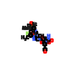 CCP(=O)(CC)c1ccc(-n2ccn(-c3c4c(nn3-c3cc(C)c(F)c(C)c3)CCN(C(=O)c3oc5cc(C6CCOCC6)ccc5c3C3(c5noc(=O)[nH]5)CC3)[C@H]4C)c2=O)cc1NC